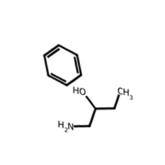 CCC(O)CN.c1ccccc1